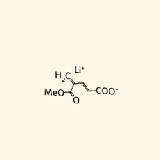 C=C(C=CC(=O)[O-])C(=O)OC.[Li+]